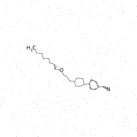 CCCCCC/C=C/OCCCC1CCC(c2ccc(C#N)cc2)CC1